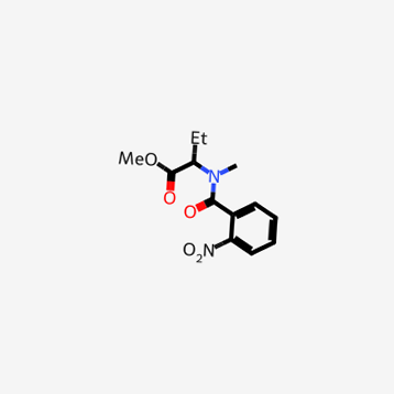 CCC(C(=O)OC)N(C)C(=O)c1ccccc1[N+](=O)[O-]